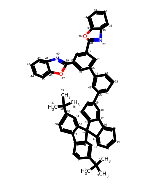 CC(C)(C)c1ccc2c(c1)C1(c3ccccc3-c3cc(-c4cccc(-c5cc(-c6nc7ccccc7o6)cc(-c6nc7ccccc7o6)c5)c4)ccc31)c1cc(C(C)(C)C)ccc1-2